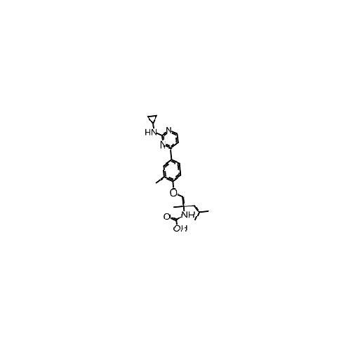 Cc1cc(-c2ccnc(NC3CC3)n2)ccc1OCC(C)(CC(C)C)NC(=O)O